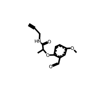 C#CCNC(=O)C(C)Oc1ccc(OC)cc1C=O